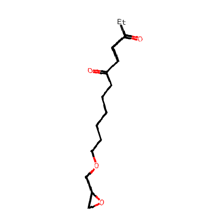 CCC(=O)CCC(=O)CCCCCCOCC1CO1